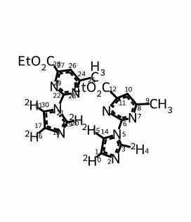 [2H]c1nc([2H])n(-c2nc(C)cc(C(=O)OCC)n2)c1[2H].[2H]c1nc([2H])n(-c2nc(C)cc(C(=O)OCC)n2)c1[2H]